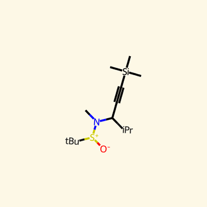 CC(C)C(C#C[Si](C)(C)C)N(C)[S+]([O-])C(C)(C)C